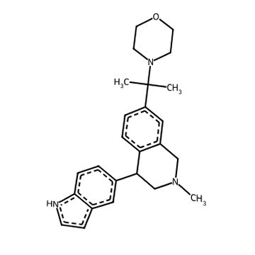 CN1Cc2cc(C(C)(C)N3CCOCC3)ccc2C(c2ccc3[nH]ccc3c2)C1